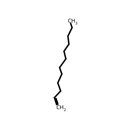 C=[C]CCCCCCCCCC